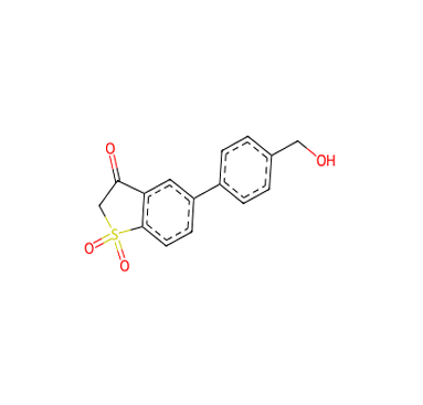 O=C1CS(=O)(=O)c2ccc(-c3ccc(CO)cc3)cc21